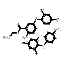 CCOC(=O)COC(=O)c1cc(Oc2ccc(C(F)(F)F)cc2Cl)ccc1[N+](=O)[O-].O=[N+]([O-])c1ccc(Oc2c(F)cc(Cl)cc2Cl)cc1